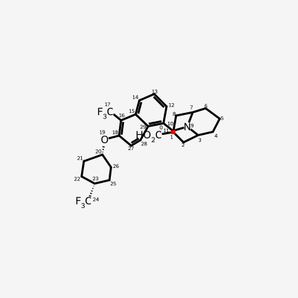 O=C(O)C1CC2CCCC(C1)N2Cc1cccc2c(C(F)(F)F)c(O[C@H]3CC[C@@H](C(F)(F)F)CC3)ccc12